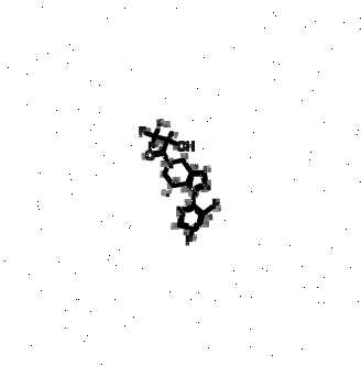 C[C@@H]1CN(C(=O)[C@@](C)(O)C(F)(F)F)Cc2cnn(-c3ncc(F)cc3F)c21